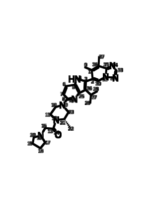 Cc1c(-c2[nH]c3ccc(N4CCN(C(=O)CN5CCCC5)[C@@H](C)C4)nc3c2C(C)C)cn2ncnc2c1C